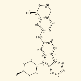 C[C@H]1CC[C@H](n2c3ccccc3c3cnc(Nc4ccc5c(n4)[C@@H](O)CNC5)nc32)CC1